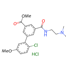 COC(=O)c1cc(C(=O)NCCN(C)C)cc(-c2cc(OC)ccc2Cl)c1.Cl